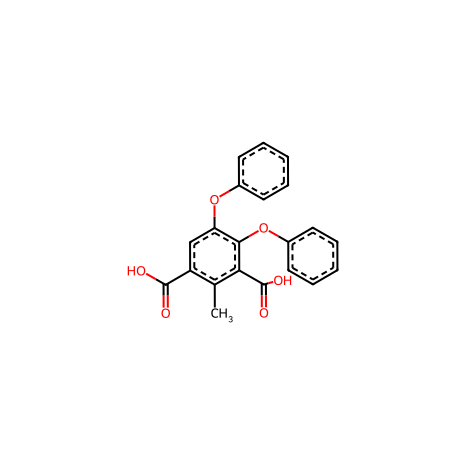 Cc1c(C(=O)O)cc(Oc2ccccc2)c(Oc2ccccc2)c1C(=O)O